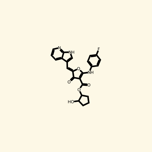 O=C(OC1CCCC1O)C1=C(Nc2ccc(F)cc2)O/C(=C\c2c[nH]c3ncccc23)C1=O